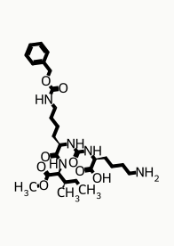 CC[C@H](C)[C@H](NC(=O)[C@@H](CCCCNC(=O)OCc1ccccc1)NC(=O)N[C@@H](CCCCN)C(=O)O)C(=O)OC